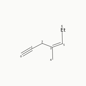 C#CCC(C)=CCC